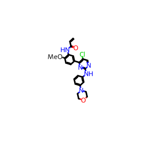 C=CC(=O)Nc1cc(-c2nc(Nc3cccc(N4CCOCC4)c3)ncc2Cl)ccc1OC